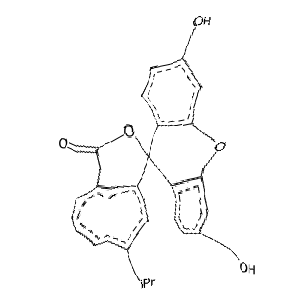 CC(C)c1ccc2c(c1)C1(OC2=O)c2ccc(O)cc2Oc2cc(O)ccc21